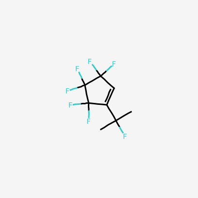 CC(C)(F)C1=CC(F)(F)C(F)(F)C1(F)F